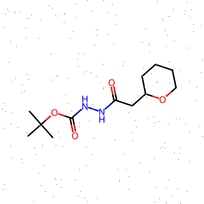 CC(C)(C)OC(=O)NNC(=O)CC1CCCCO1